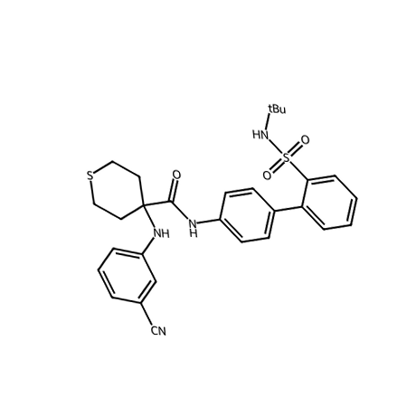 CC(C)(C)NS(=O)(=O)c1ccccc1-c1ccc(NC(=O)C2(Nc3cccc(C#N)c3)CCSCC2)cc1